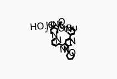 CC(C)(C)OC(=O)NC1(C(=O)O)CCN(c2cccc(-c3nn(C4CCCCO4)c4cnc(-c5cccnc5)cc34)n2)CC1